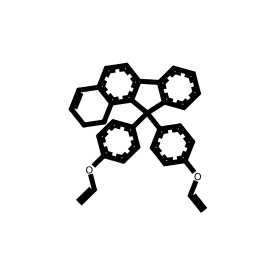 C=COc1ccc(C2(c3ccc(OC=C)cc3)c3ccccc3-c3ccc4c(c32)CCC=C4)cc1